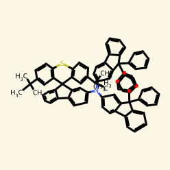 CC(C)(C)c1ccc2c(c1)C1(c3cc(C(C)(C)C)ccc3S2)c2ccccc2-c2ccc(N(c3ccc4c(c3)C(c3ccccc3)(c3ccccc3)c3ccccc3-4)c3ccc4c(c3)C(c3ccccc3)(c3ccccc3)c3ccccc3-4)cc21